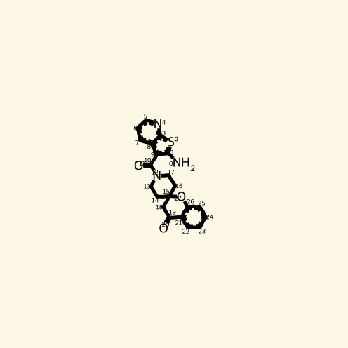 Nc1sc2ncccc2c1C(=O)N1CCC2(CC1)CC(=O)c1ccccc1O2